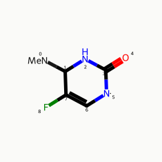 CNC1NC(=O)[N]C=C1F